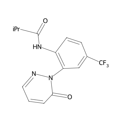 CC(C)C(=O)Nc1ccc(C(F)(F)F)cc1-n1ncccc1=O